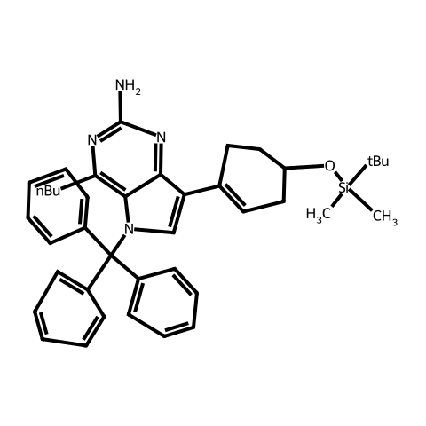 CCCCc1nc(N)nc2c(C3=CCC(O[Si](C)(C)C(C)(C)C)CC3)cn(C(c3ccccc3)(c3ccccc3)c3ccccc3)c12